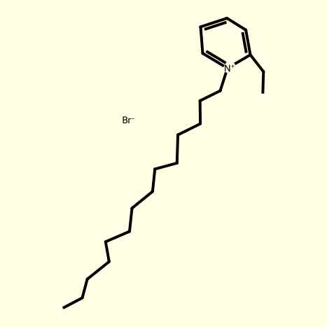 CCCCCCCCCCCCCC[n+]1ccccc1CC.[Br-]